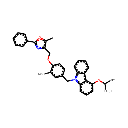 CCCC(Oc1cccc2c1c1ccccc1n2Cc1ccc(OCc2nc(-c3ccccc3)oc2C)c(OC)c1)C(=O)O